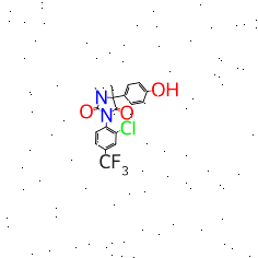 CN1C(=O)N(c2ccc(C(F)(F)F)cc2Cl)C(=O)C1(C)c1ccc(O)cc1